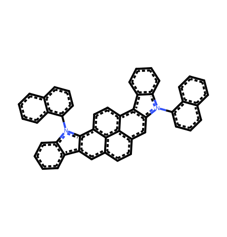 c1ccc2c(-n3c4ccccc4c4c5ccc6c7c(ccc(cc43)c57)cc3c4ccccc4n(-c4cccc5ccccc45)c36)cccc2c1